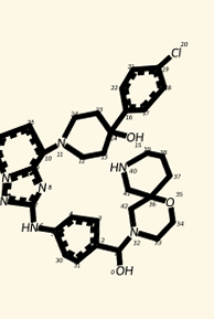 OC(c1ccc(Nc2nc3c(N4CCC(O)(c5ccc(Cl)cc5)CC4)cccn3n2)cc1)N1CCOC2(CCCNC2)C1